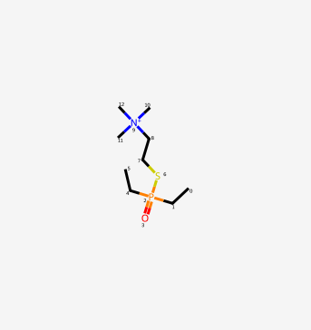 CCP(=O)(CC)SCC[N+](C)(C)C